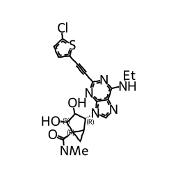 CCNc1nc(C#Cc2ccc(Cl)s2)nc2c1ncn2[C@H]1C(O)[C@H](O)[C@@]2(C(=O)NC)CC12